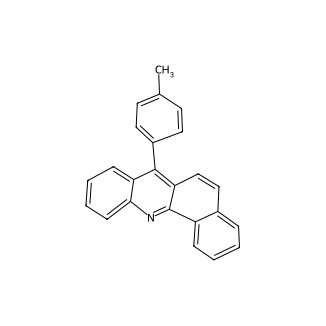 Cc1ccc(-c2c3ccccc3nc3c2ccc2ccccc23)cc1